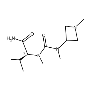 CC(C)[C@@H](C(N)=O)N(C)C(=O)N(C)C1CN(C)C1